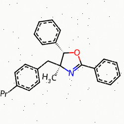 CC(C)c1ccc(C[C@]2(C)N=C(c3ccccc3)O[C@H]2c2ccccc2)cc1